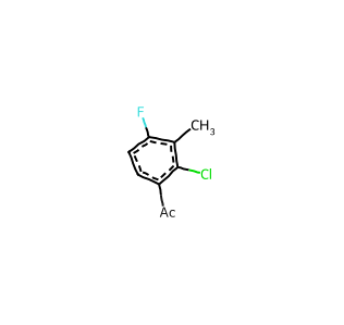 CC(=O)c1ccc(F)c(C)c1Cl